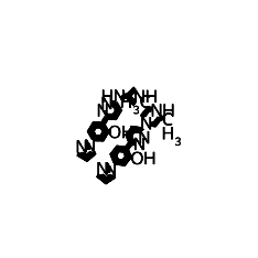 CC1CN(c2ccc(-c3ccc(-n4cccn4)cc3O)nn2)CC(C)N1.Oc1cc(-n2cccn2)ccc1-c1ccc(NC2CNC2)nn1